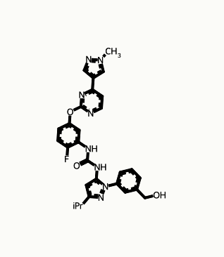 CC(C)c1cc(NC(=O)Nc2cc(Oc3nccc(-c4cnn(C)c4)n3)ccc2F)n(-c2cccc(CO)c2)n1